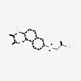 NC(=O)CS(=O)(=O)c1ccc2c(ccc3[nH]c(=O)c(=O)[nH]c32)c1